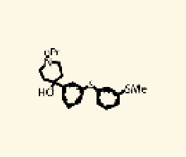 CCCN1CCC(O)(c2cccc(Sc3cccc(SC)c3)c2)CC1